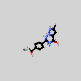 COC(=O)c1ccc(-c2nn3nc(C)cc3c(=O)[nH]2)cc1